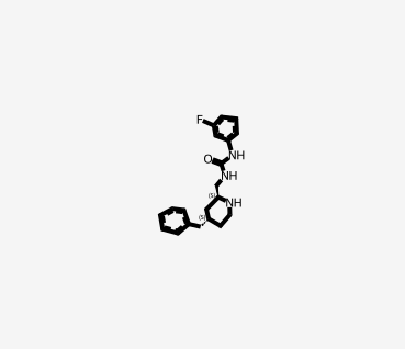 O=C(NC[C@@H]1C[C@@H](Cc2ccccc2)CCN1)Nc1cccc(F)c1